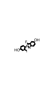 Oc1ccc(-n2nc3ccc(O)cc3c2F)c(I)c1